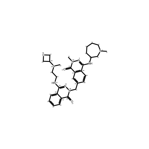 CN1CCCCC(Nc2nn(C)c(=O)c3cc(Cn4nc(NCCN(C)C5COC5)c5ccccc5c4=O)ccc23)C1